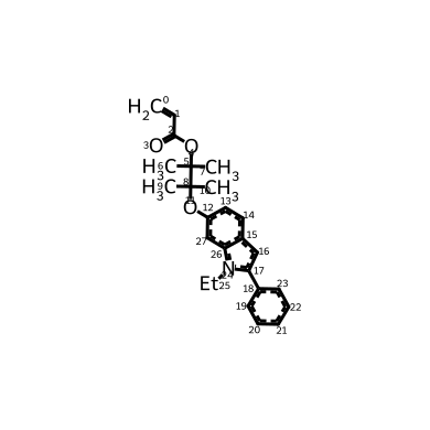 C=CC(=O)OC(C)(C)C(C)(C)Oc1ccc2cc(-c3ccccc3)n(CC)c2c1